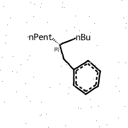 CCCC[CH][C@H](CCCC)Cc1ccccc1